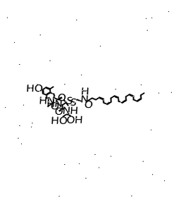 CC/C=C\C/C=C\C/C=C\C/C=C\C/C=C\C/C=C\CCC(=O)NCCSSC(C)(C)C(NC(=O)C(Cc1c(C)cc(O)cc1C)NC(C)=O)C(=O)NC(CO)CO